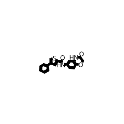 O=C1COc2ccc(NC(=O)c3cc(-c4ccccc4)cs3)cc2N1